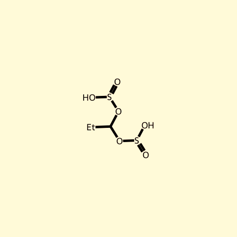 CCC(OS(=O)O)OS(=O)O